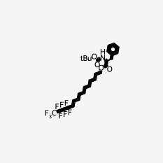 CC(C)(C)OC(=O)N[C@@H](Cc1ccccc1)C(=O)OCCCCCCCCCCCC(F)(F)C(F)(F)C(F)(F)C(F)(F)F